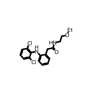 CCOCCNC(=O)Cc1ccccc1Nc1c(Cl)cccc1Cl